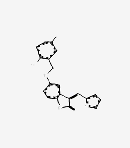 N#Cc1ccc(F)cc1CNc1ccc2c(c1)/C(=C/c1ccc[nH]1)C(=O)N2